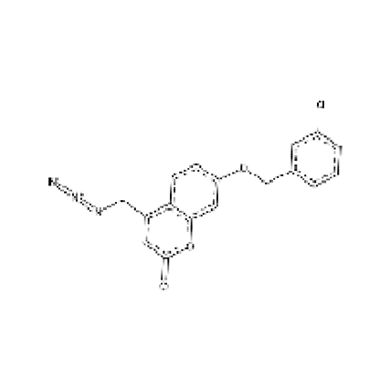 [N-]=[N+]=NCc1cc(=O)oc2cc(OCc3cccc(Cl)c3)ccc12